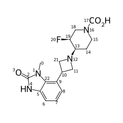 Cn1c(=O)[nH]c2cccc(C3CN([C@@H]4CCN(C(=O)O)C[C@@H]4F)C3)c21